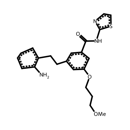 COCCCOc1cc(CCc2ccccc2N)cc(C(=O)Nc2nccs2)c1